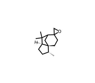 C[C@@H]1CC[C@H]2C(C)(C)C3C[C@]12CCC31CO1